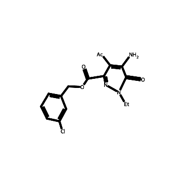 CCn1nc(C(=O)OCc2cccc(Cl)c2)c(C(C)=O)c(N)c1=O